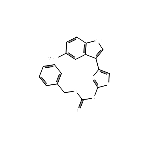 COc1ccc2[nH]cc(-c3csc(NC(=N)NCc4ccccc4)n3)c2c1